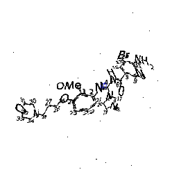 COc1c(/N=C(/NC(=O)c2cnc(N)c(Br)c2)N2C=NCC2)cccc1OCCCN1CCOCC1